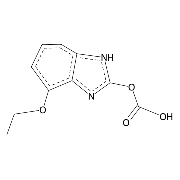 CCOc1cccc2[nH]c(OC(=O)O)nc12